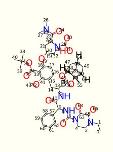 CCN1CCN(C(=O)NC(C(=O)NC(Cc2ccc(O[C@H]3C[C@@H](C(=O)N(C)C)N(C(=O)O)C3)c(C(=O)OC(C)(C)C)c2OC)B2O[C@@H]3C[C@@H]4C[C@@H](C4(C)C)[C@]3(C)O2)c2ccccc2)C(=O)C1=O